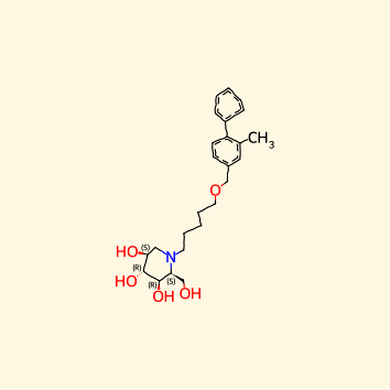 Cc1cc(COCCCCCN2C[C@H](O)[C@@H](O)[C@H](O)[C@@H]2CO)ccc1-c1ccccc1